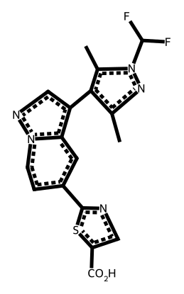 Cc1nn(C(F)F)c(C)c1-c1cnn2ccc(-c3ncc(C(=O)O)s3)cc12